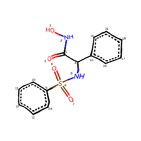 O=C(NO)C(NS(=O)(=O)c1ccccc1)c1ccccc1